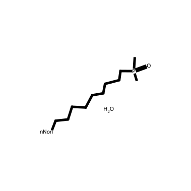 CCCCCCCCCCCCCCCCCCP(C)(C)=O.O